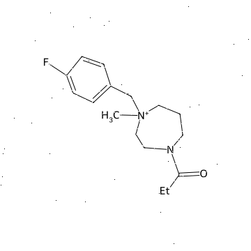 CCC(=O)N1CCC[N+](C)(Cc2ccc(F)cc2)CC1